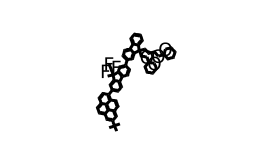 CC(C)(C)c1cc2ccc3ccc(-c4ccc5c(c4)C(C)(C(F)(F)F)c4cc(-c6ccc7c(c6)C(CCCOC6CCCCO6)(COC6CCCCO6)c6ccccc6-7)ccc4-5)c4ccc(c1)c2c34